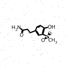 CS(=O)(=O)c1cc([CH]CC(N)=O)ccc1O